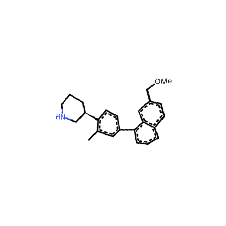 COCc1ccc2cccc(-c3ccc([C@@H]4CCCNC4)c(C)c3)c2c1